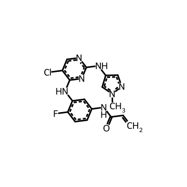 C=CC(=O)Nc1ccc(F)c(Nc2nc(Nc3cnn(C)c3)ncc2Cl)c1